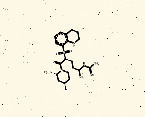 C[C@@H]1CNc2c(cccc2S(=O)(=O)[C@@H](CCC(N)NC(=N)N)C(=O)N2CC[C@@H](C)C[C@@H]2C(=O)O)C1